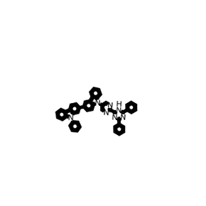 c1ccc(C2=NC(c3ccccc3)NC(c3ncc(-n4c5ccccc5c5cc(-c6ccc7c8ccccc8n(-c8ccccc8)c7c6)ccc54)cn3)=N2)cc1